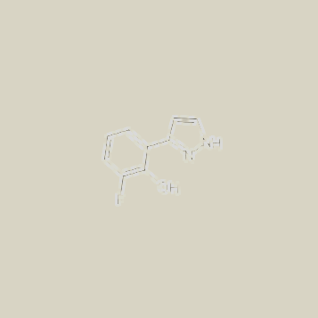 Oc1c(F)cccc1-c1cc[nH]n1